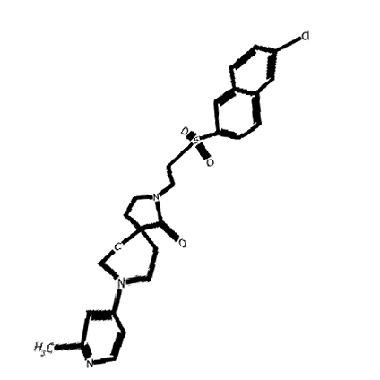 Cc1cc(N2CCC3(CCN(CCS(=O)(=O)c4ccc5cc(Cl)ccc5c4)C3=O)CC2)ccn1